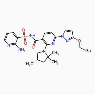 CCC(C)COc1ccn(-c2ccc(C(=O)NS(=O)(=O)c3cccnc3N)c(N3C[C@@H](C)CC3(C)C)n2)n1